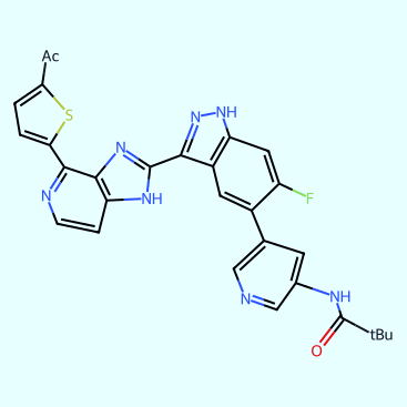 CC(=O)c1ccc(-c2nccc3[nH]c(-c4n[nH]c5cc(F)c(-c6cncc(NC(=O)C(C)(C)C)c6)cc45)nc23)s1